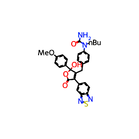 CCCCN(C(N)=O)c1ccc(CC2=C(c3ccc4nsnc4c3)C(=O)OC2(O)c2ccc(OC)cc2)cc1